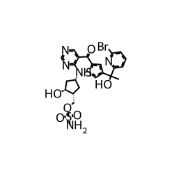 CC(O)(c1csc(C(=O)c2cncnc2N[C@@H]2C[C@H](COS(N)(=O)=O)[C@@H](O)C2)c1)c1cccc(Br)n1